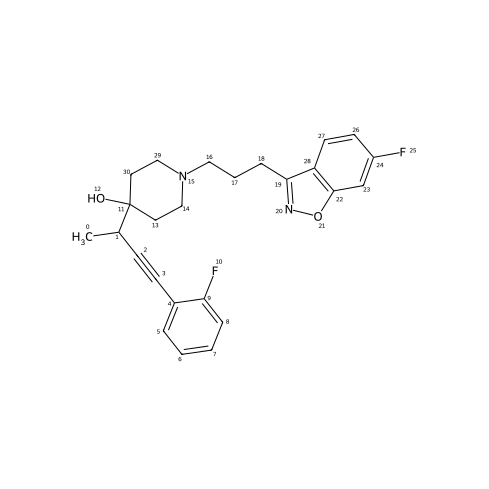 CC(C#Cc1ccccc1F)C1(O)CCN(CCCc2noc3cc(F)ccc23)CC1